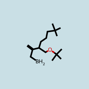 BCC(=C)C(CCCC(C)(C)C)COC(C)(C)C